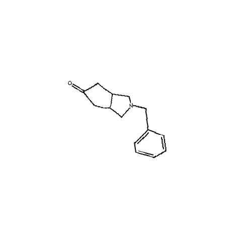 O=C1CC2CN(Cc3ccccc3)CC2C1